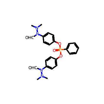 CN(C)N(C=O)c1ccc(OP(=O)(Oc2ccc(N(C=O)N(C)C)cc2)c2ccccc2)cc1